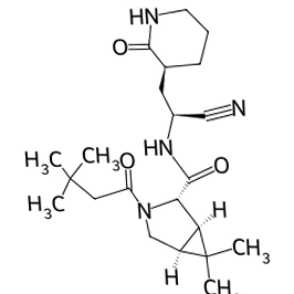 CC(C)(C)CC(=O)N1C[C@H]2[C@@H]([C@H]1C(=O)N[C@H](C#N)C[C@@H]1CCCNC1=O)C2(C)C